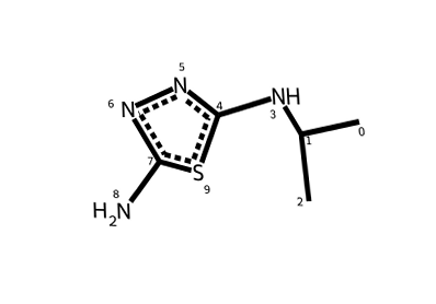 CC(C)Nc1nnc(N)s1